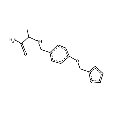 CC(NCc1ccc(OCc2cccs2)cc1)C(N)=O